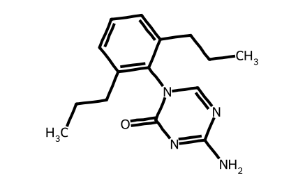 CCCc1cccc(CCC)c1-n1cnc(N)nc1=O